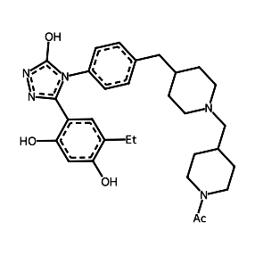 CCc1cc(-c2nnc(O)n2-c2ccc(CC3CCN(CC4CCN(C(C)=O)CC4)CC3)cc2)c(O)cc1O